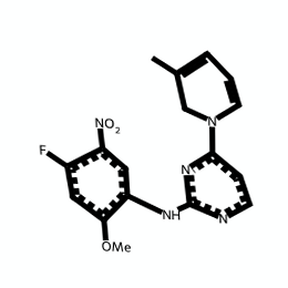 COc1cc(F)c([N+](=O)[O-])cc1Nc1nccc(N2C=CC=C(C)C2)n1